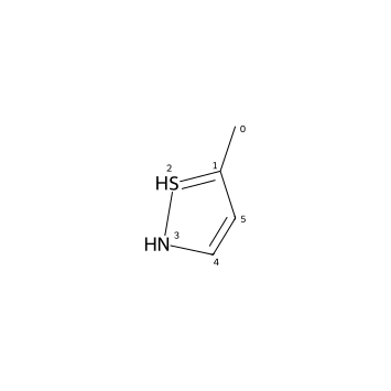 CC1=[SH]NC=C1